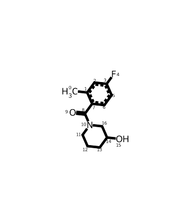 Cc1cc(F)ccc1C(=O)N1CCCC(O)C1